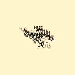 CCC(CC)Nc1nc(N2CC[C@@H](NC(=O)N[C@@H]3CCNC3)C2)nc2c1ncn2[C@@H]1O[C@H](c2nnn(CC)n2)[C@@H](O)[C@H]1O.O=C(O)C(F)(F)F